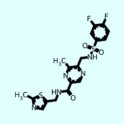 Cc1ncc(CNC(=O)c2cnc(CNS(=O)(=O)c3ccc(F)c(F)c3)c(C)n2)s1